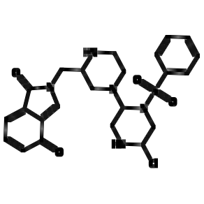 O=C1C=CC=C2C(=O)N(CC3CN(C4CNC(Cl)CN4S(=O)(=O)c4ccccc4)CCN3)C=C12